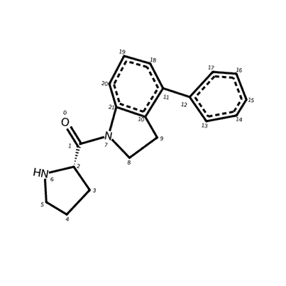 O=C([C@@H]1CCCN1)N1CCc2c(-c3ccccc3)cccc21